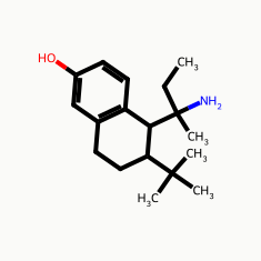 CCC(C)(N)C1c2ccc(O)cc2CCC1C(C)(C)C